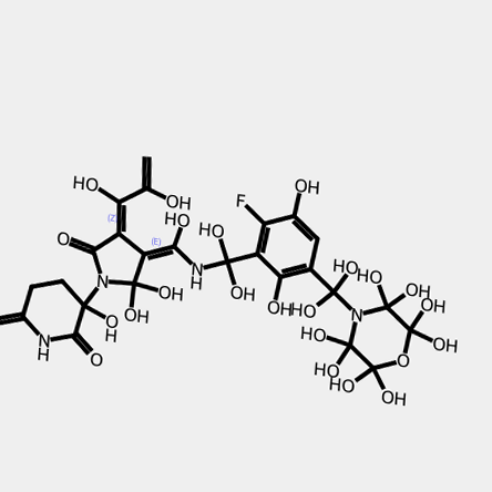 C=C(O)/C(O)=C1/C(=O)N(C2(O)CCC(=O)NC2=O)C(O)(O)/C1=C(/O)NC(O)(O)c1c(O)c(C(O)(O)N2C(O)(O)C(O)(O)OC(O)(O)C2(O)O)cc(O)c1F